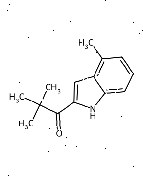 Cc1cccc2[nH]c(C(=O)C(C)(C)C)cc12